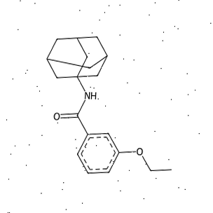 CCOc1cccc(C(=O)NC23CC4CC(CC(C4)C2)C3)c1